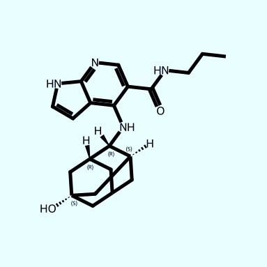 CCCNC(=O)c1cnc2[nH]ccc2c1N[C@H]1[C@@H]2CC3C[C@H]1C[C@@](O)(C3)C2